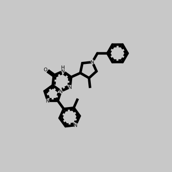 Cc1cnccc1-c1ncc2c(=O)[nH]c(C3CN(Cc4ccccc4)CC3C)nn12